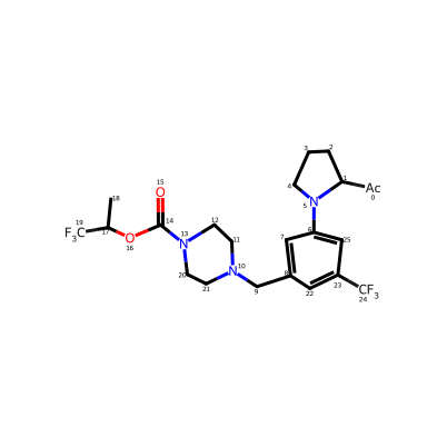 CC(=O)C1CCCN1c1cc(CN2CCN(C(=O)OC(C)C(F)(F)F)CC2)cc(C(F)(F)F)c1